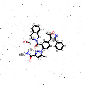 CCCCN(CCCC)C(=O)c1cc(C)n(-c2ccc(-c3c(-c4ccccc4)noc3C)cc2C(=O)N2Cc3ccccc3C[C@H]2CO)n1